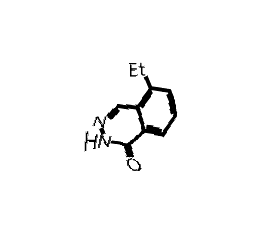 CCc1cccc2c(=O)[nH]ncc12